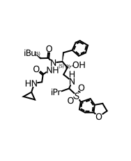 CC[C@H](C)CC(=O)N(NC(=O)CNC1CC1)[C@@H](Cc1ccccc1)[C@H](O)CNC(C(C)C)S(=O)(=O)c1ccc2c(c1)CCO2